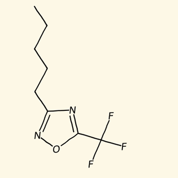 CCCCCc1noc(C(F)(F)F)n1